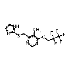 Cc1c(OCC(F)(F)C(F)(F)F)ccnc1CSc1ncc[nH]1